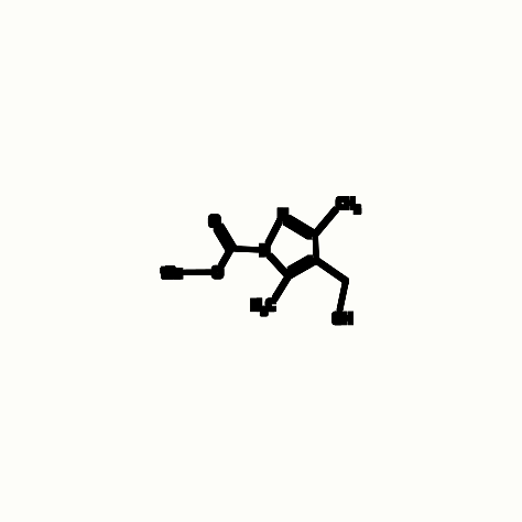 Cc1nn(C(=O)OC(C)(C)C)c(C)c1CO